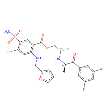 C[C@@H](COC(=O)c1cc(S(N)(=O)=O)c(Cl)cc1NCc1ccco1)N[C@H](C)C(=O)c1cc(F)cc(F)c1